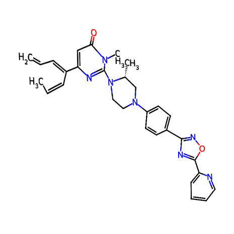 C=C/C=C(\C=C/C)c1cc(=O)n(C)c(N2CCN(c3ccc(-c4noc(-c5ccccn5)n4)cc3)C[C@H]2C)n1